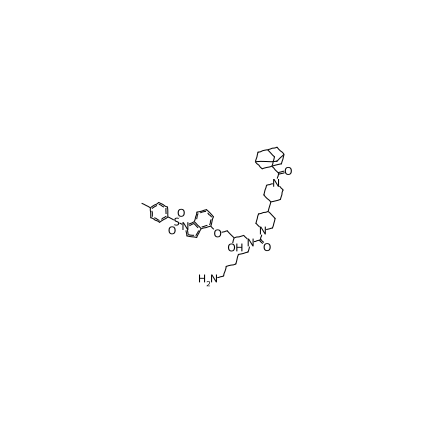 Cc1ccc(S(=O)(=O)n2ccc3c(OCC(O)CN(CCCCCN)C(=O)N4CCC(C5CCN(C(=O)C67CC8CC(CC(C8)C6)C7)CC5)CC4)cccc32)cc1